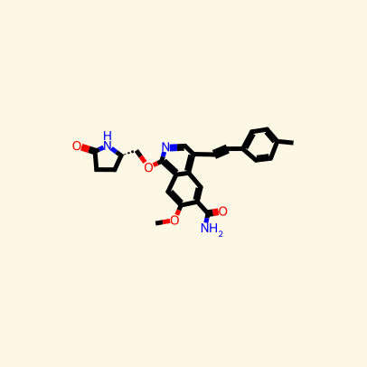 COc1cc2c(OC[C@@H]3CCC(=O)N3)ncc(C#Cc3ccc(C)cc3)c2cc1C(N)=O